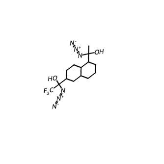 CC(O)(N=[N+]=[N-])C1CCCC2CC(C(O)(N=[N+]=[N-])C(F)(F)F)CCC21